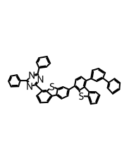 c1ccc(-c2cccc(-c3ccc(-c4ccc5c(c4)sc4c(-c6nc(-c7ccccc7)nc(-c7ccccc7)n6)cccc45)c4sc5ccccc5c34)c2)cc1